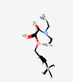 C[Si](C)(C)C#CCOC(=O)C(=O)N(CC#N)CC#N